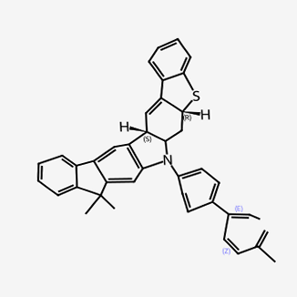 C=C(C)/C=C\C(=C/C)c1ccc(N2c3cc4c(cc3[C@@H]3C=C5c6ccccc6S[C@@H]5CC32)-c2ccccc2C4(C)C)cc1